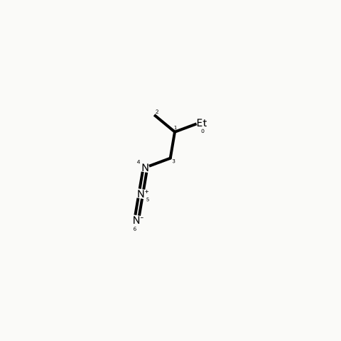 CCC(C)CN=[N+]=[N-]